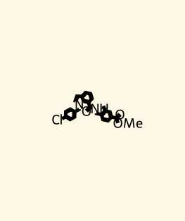 COC(=O)c1ccc(CNC(=O)c2cccc3ccn(Cc4ccc(Cl)cc4)c23)c(C)c1